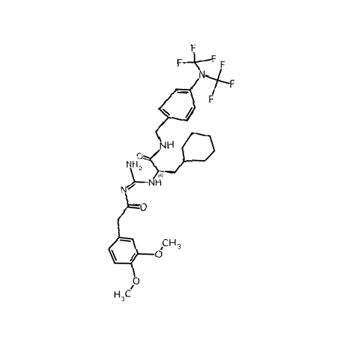 COc1ccc(CC(=O)N=C(N)N[C@H](CC2CCCCC2)C(=O)NCc2ccc(N(C(F)(F)F)C(F)(F)F)cc2)cc1OC